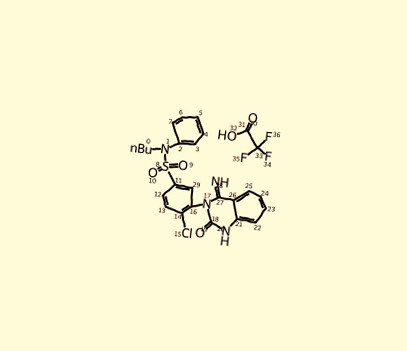 CCCCN(c1ccccc1)S(=O)(=O)c1ccc(Cl)c(-n2c(=O)[nH]c3ccccc3c2=N)c1.O=C(O)C(F)(F)F